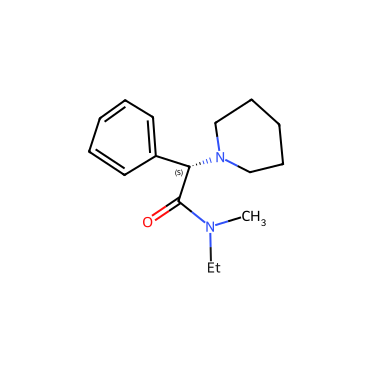 CCN(C)C(=O)[C@H](c1ccccc1)N1CCCCC1